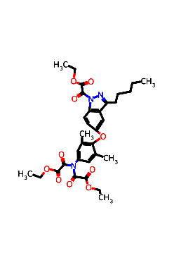 CCCCCc1nn(C(=O)C(=O)OCC)c2ccc(Oc3c(C)cc(N(C(=O)C(=O)OCC)C(=O)C(=O)OCC)cc3C)cc12